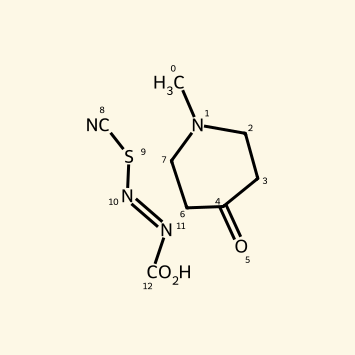 CN1CCC(=O)CC1.N#CSN=NC(=O)O